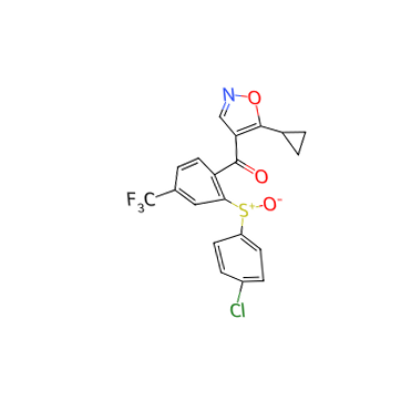 O=C(c1ccc(C(F)(F)F)cc1[S+]([O-])c1ccc(Cl)cc1)c1cnoc1C1CC1